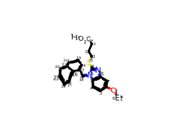 CCOc1ccc2c(c1)nc(SCCCC(=O)O)n2Cc1cccc2ccccc12